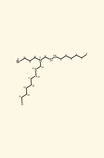 CCCCCCSSCN(CCCBr)CSSCCCCCC